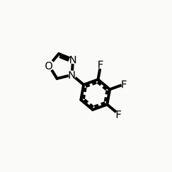 Fc1ccc(N2COC=N2)c(F)c1F